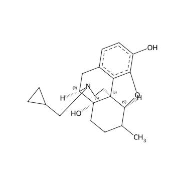 CC1CC[C@@]2(O)[C@H]3Cc4ccc(O)c5c4[C@@]2(CCN3CC2CC2)[C@H]1O5